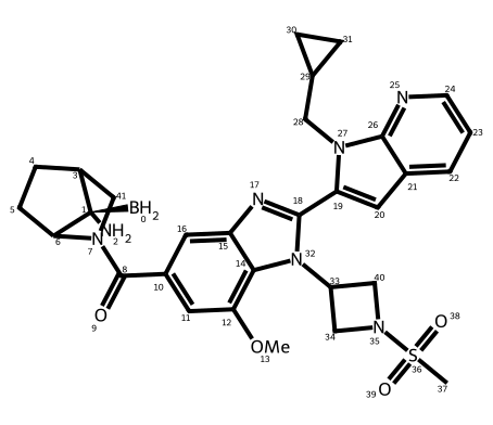 B[C@]1(N)C2CCC1N(C(=O)c1cc(OC)c3c(c1)nc(-c1cc4cccnc4n1CC1CC1)n3C1CN(S(C)(=O)=O)C1)C2